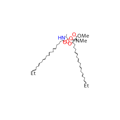 CCC=CCC=CCC=CCC=CCC=CCCCC(=O)NC(C)C(=O)O[C@H](C(=O)CCCC=CCC=CCC=CCC=CCC=CCC)[C@H](NC)C(=O)OC